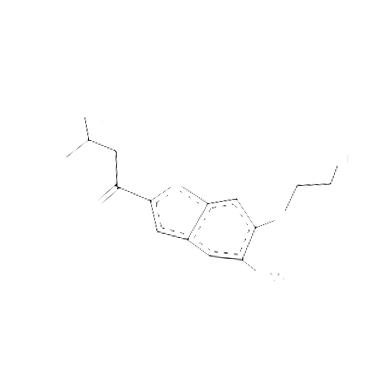 COc1cc2cc(C(=O)CC(C)C(=O)O)sc2cc1OCCO